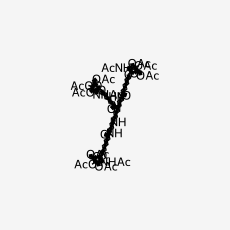 CC(=O)NC1C(OC(C)=O)[C@@H](OC(C)=O)C(COC(C)=O)O[C@H]1OCCCCCCC(=O)NCCCNCCCCN(CCCNC(=O)CCCCCCO[C@@H]1OC(COC(C)=O)[C@H](OC(C)=O)C(OC(C)=O)C1NC(C)=O)C(=O)CCCCCCO[C@@H]1OC(COC(C)=O)[C@H](OC(C)=O)C(OC(C)=O)C1NC(C)=O